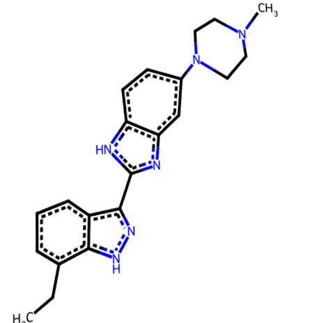 CCc1cccc2c(-c3nc4cc(N5CCN(C)CC5)ccc4[nH]3)n[nH]c12